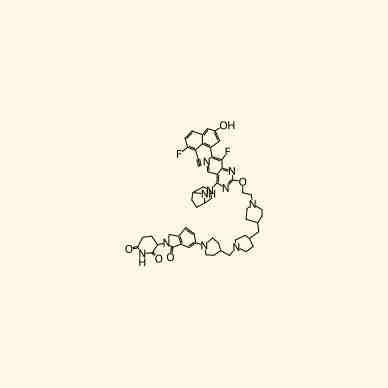 C#Cc1c(F)ccc2cc(O)cc(-c3ncc4c(N5CC6CCC(C5)N6)nc(OCCN5CCC(CC6CCN(CC7CCN(c8ccc9c(c8)C(=O)N(C8CCC(=O)NC8=O)C9)CC7)CC6)CC5)nc4c3F)c12